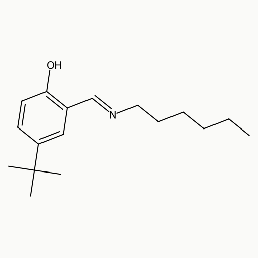 CCCCCCN=Cc1cc(C(C)(C)C)ccc1O